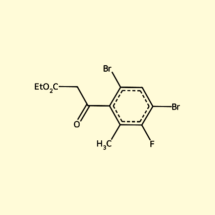 CCOC(=O)CC(=O)c1c(Br)cc(Br)c(F)c1C